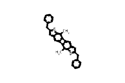 Cc1c2c(cc3cc(Cc4ccccc4)sc13)-c1c-2cc2cc(Cc3ccccc3)sc2c1C